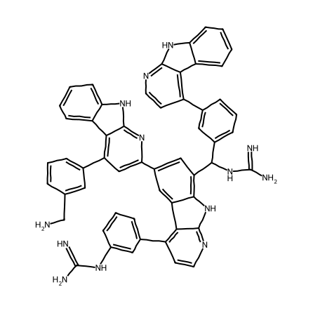 N=C(N)Nc1cccc(-c2ccnc3[nH]c4c(C(NC(=N)N)c5cccc(-c6ccnc7[nH]c8ccccc8c67)c5)cc(-c5cc(-c6cccc(CN)c6)c6c(n5)[nH]c5ccccc56)cc4c23)c1